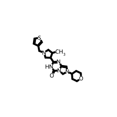 CC1CN(Cc2ccsc2)CC1C1=NC2=CN(C3CCOCC3)CN2C(=O)N1